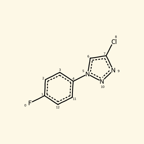 Fc1ccc(-n2cc(Cl)nn2)cc1